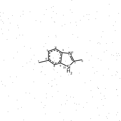 CC1=Nc2ccc(C)cc2[SiH2]1